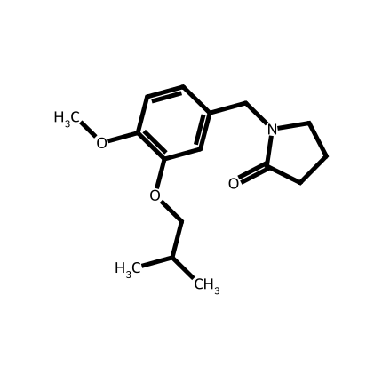 COc1ccc(CN2CCCC2=O)cc1OCC(C)C